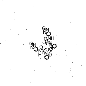 CC(=O)C(N=Nc1ccccc1OCCOc1ccccc1N=NC(C(C)=O)C(=O)Nc1ccc2c(c1)=NC(=O)N=2)C(=O)Nc1ccc2c(c1)=NC(=O)N=2